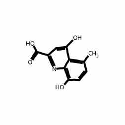 Cc1ccc(O)c2nc(C(=O)O)cc(O)c12